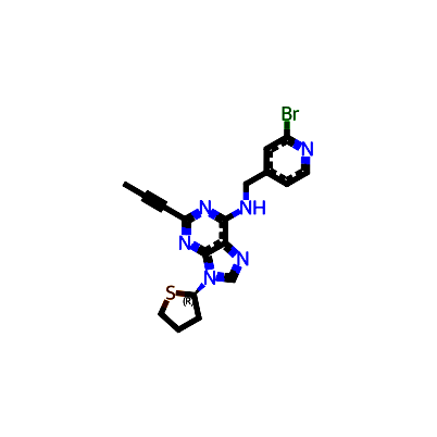 CC#Cc1nc(NCc2ccnc(Br)c2)c2ncn([C@H]3CCCS3)c2n1